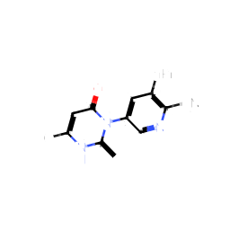 C=C1NC(C(F)(F)F)=CC(=O)N1c1cnc(C#N)c(CCC)c1